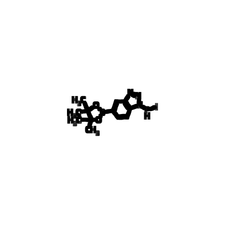 CC1(C)OB(c2ccc3c(c2)nnn3PI)OC1(C)C